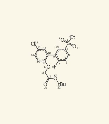 CCS(=O)(=O)c1ccc(F)c(-c2cc(Cl)ccc2OCC(=O)OC(C)(C)C)c1